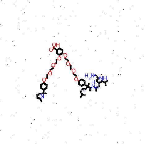 C=C(N/C(C)=C\c1cc(CN)[nH]c1C(C)C)C(C)(/C=C/C=C(C)C)c1ccc(OCCOCCOCCOc2ccc(C(=O)O)cc2OCCOCCOCCOc2ccc([C@@]3(C)c4ccc(C)n43)cc2)cc1